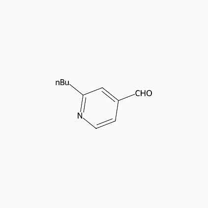 CCCCc1cc(C=O)ccn1